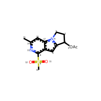 CC(=O)OC1CCn2c1cc1c(S(C)(=O)=O)nc(C)cc12